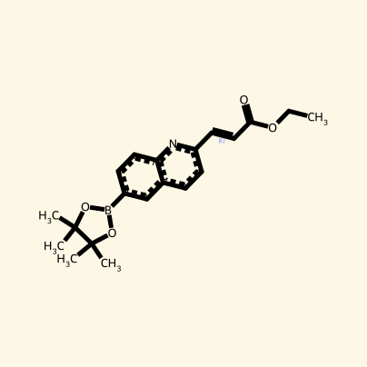 CCOC(=O)/C=C/c1ccc2cc(B3OC(C)(C)C(C)(C)O3)ccc2n1